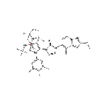 COc1cc2c(F)c(-n3ccn(-c4c5c(nn4-c4cc(C)c(F)c(C)c4)C[C@H]4CC[C@@H]5N4C(=O)OC(C)(C)C)c3=O)ccn2n1